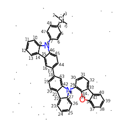 C[Si](C)(C)c1ccc(-n2c3ccccc3c3cc(-c4ccc5c6ccccc6n(-c6cccc7c6oc6ccccc67)c5c4)ccc32)cc1